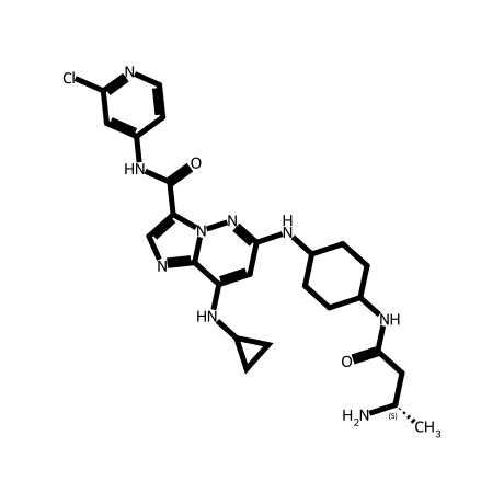 C[C@H](N)CC(=O)NC1CCC(Nc2cc(NC3CC3)c3ncc(C(=O)Nc4ccnc(Cl)c4)n3n2)CC1